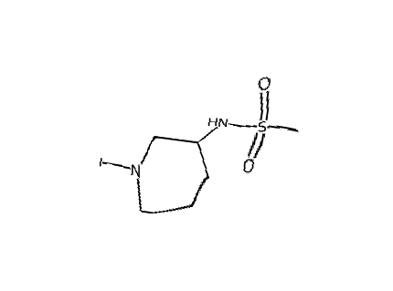 CS(=O)(=O)NC1CCCN(I)C1